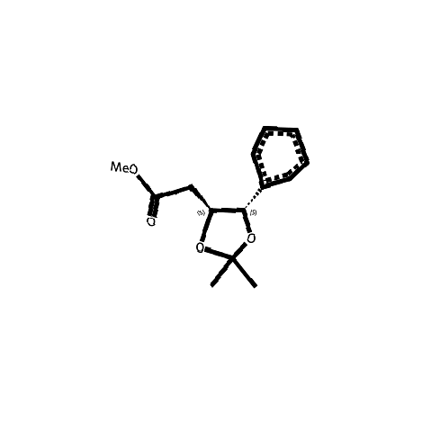 COC(=O)C[C@@H]1OC(C)(C)O[C@H]1c1ccccc1